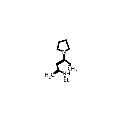 C=C/C(=C\C(=C)NCC)N1CCCC1